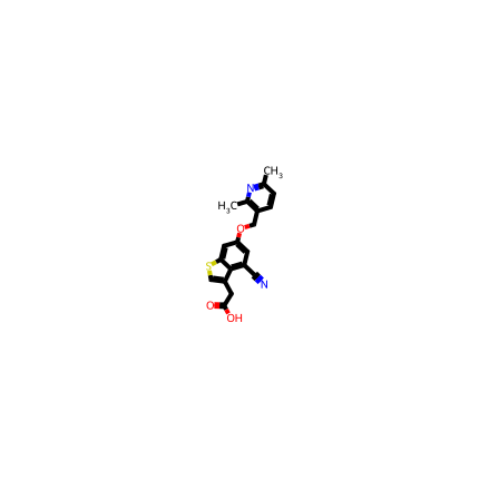 Cc1ccc(COc2cc(C#N)c3c(CC(=O)O)csc3c2)c(C)n1